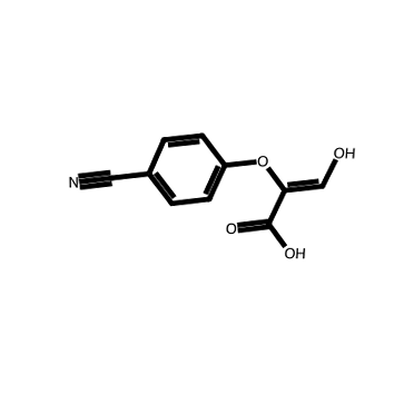 N#Cc1ccc(O/C(=C\O)C(=O)O)cc1